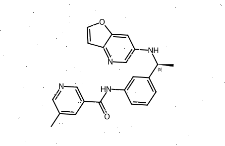 Cc1cncc(C(=O)Nc2cccc([C@H](C)Nc3cnc4ccoc4c3)c2)c1